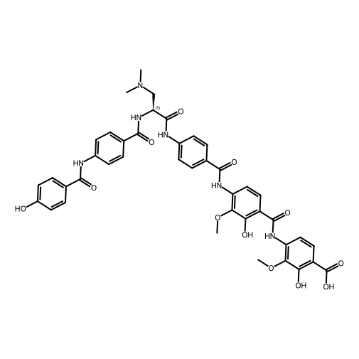 COc1c(NC(=O)c2ccc(NC(=O)c3ccc(NC(=O)[C@H](CN(C)C)NC(=O)c4ccc(NC(=O)c5ccc(O)cc5)cc4)cc3)c(OC)c2O)ccc(C(=O)O)c1O